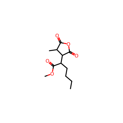 CCCCC(C(=O)OC)C1C(=O)OC(=O)C1C